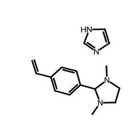 C=Cc1ccc(C2N(C)CCN2C)cc1.c1c[nH]cn1